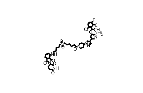 CC(Oc1cc(-c2cnn(C3CCN(C(=O)CCCCCS(=O)(=O)CCCCCNc4cccc5c4C(=O)N(C4CCC(=O)NC4=O)C5=O)CC3)c2)cnc1N)c1c(Cl)ccc(F)c1Cl